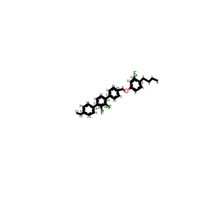 CCCCc1ccc(OCc2ccc(-c3ccc(-c4ccc(CC)cc4)c(F)c3F)cc2)cc1F